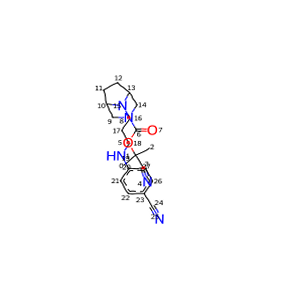 CC(C)(C#N)OC(=O)N1CC2CCC(C1)N2CCCNc1ccc(C#N)cc1